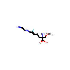 COC[C@@](N)(CC/C=C(\F)CNCC=N)C(=O)O